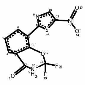 NC(=O)c1cccc(-c2ncc([N+](=O)[O-])s2)c1OC(F)(F)F